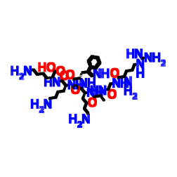 C[C@H](NC(=O)CNC(=O)[C@@H](N)CCCNC(=N)N)C(=O)N[C@@H](CCCCN)C(=O)N[C@@H](Cc1c[nH]c2ccccc12)C(=O)N[C@@H](CCCCN)C(=O)N[C@@H](CCCCN)C(=O)O